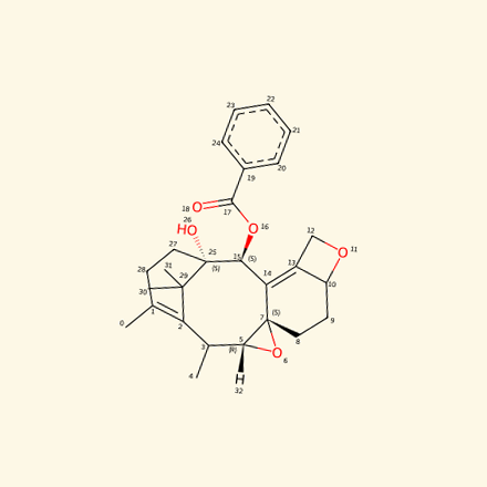 CC1=C2C(C)[C@H]3O[C@]34CCC3OCC3=C4[C@H](OC(=O)c3ccccc3)[C@](O)(CC1)C2(C)C